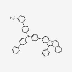 Cc1cccc(-c2ccc(N(c3ccc(-c4ccccc4)cc3)c3ccc(-c4ccc5c(c4)c(-c4ccccc4)c4c6ccccc6ccn54)cc3)cc2)c1